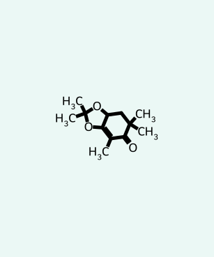 CC1=C2OC(C)(C)OC2CC(C)(C)C1=O